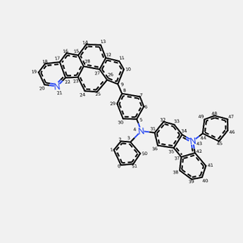 c1ccc(N(c2ccc(-c3ccc4ccc5cc6cccnc6c6ccc3c4c56)cc2)c2ccc3c(c2)c2ccccc2n3-c2ccccc2)cc1